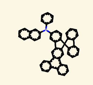 c1ccc(N(c2ccc3c(c2)-c2cc4c5ccccc5c5ccccc5c4cc2C32c3ccccc3-c3ccccc32)c2ccc3ccccc3c2)cc1